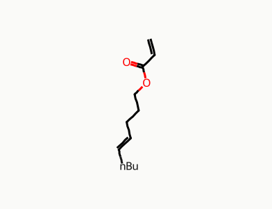 C=CC(=O)OCCCC=CCCCC